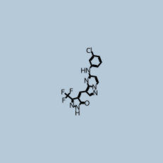 O=C1NN=C(C(F)(F)F)/C1=C/c1cnn2ccc(Nc3cccc(Cl)c3)nc12